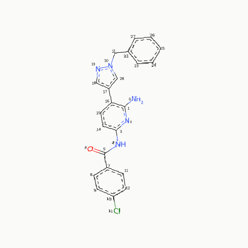 Nc1nc(NC(=O)c2ccc(Cl)cc2)ccc1-c1cnn(Cc2ccccc2)c1